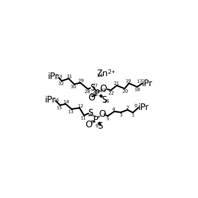 CC(C)CCCCCOP([O-])(=S)SCCCCCC(C)C.CC(C)CCCCCOP([O-])(=S)SCCCCCC(C)C.[Zn+2]